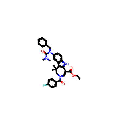 CCOC(=O)C1=CN(C(=O)c2ccc(F)cc2)CC(C)(C)c2c1[nH]c1ccc(N(Cc3ccccc3)C(=O)N(C)C)cc21